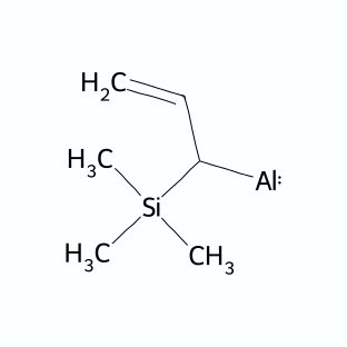 C=C[CH]([Al])[Si](C)(C)C